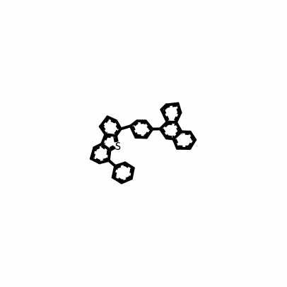 c1ccc(-c2cccc3c2sc2c(-c4ccc(-c5cc6ccccc6c6ccccc56)cc4)cccc23)cc1